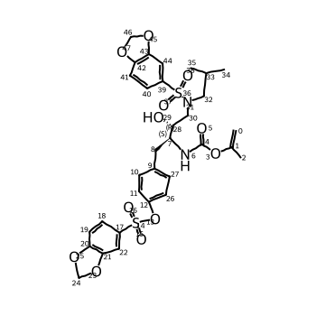 C=C(C)OC(=O)N[C@@H](Cc1ccc(OS(=O)(=O)c2ccc3c(c2)OCO3)cc1)[C@H](O)CN(CC(C)C)S(=O)(=O)c1ccc2c(c1)OCO2